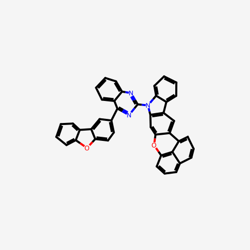 c1cc2c3c(cccc3c1)-c1cc3c4ccccc4n(-c4nc(-c5ccc6oc7ccccc7c6c5)c5ccccc5n4)c3cc1O2